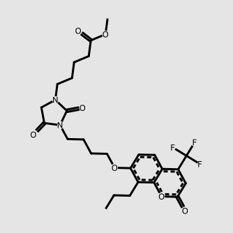 CCCc1c(OCCCCN2C(=O)CN(CCCCC(=O)OC)C2=O)ccc2c(C(F)(F)F)cc(=O)oc12